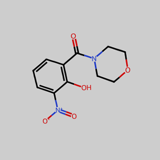 O=C(c1cccc([N+](=O)[O-])c1O)N1CCOCC1